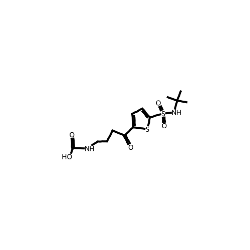 CC(C)(C)NS(=O)(=O)c1ccc(C(=O)CCCNC(=O)O)s1